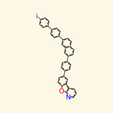 Ic1ccc(-c2ccc(-c3ccc4ccc(-c5ccc(-c6ccc7oc8ncccc8c7c6)cc5)cc4c3)cc2)cc1